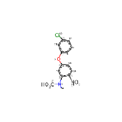 CN(C(=O)O)c1cc(Oc2cccc(Cl)c2)ccc1[N+](=O)[O-]